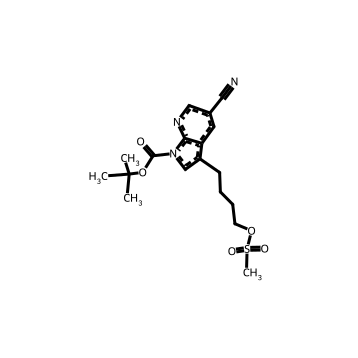 CC(C)(C)OC(=O)n1cc(CCCCOS(C)(=O)=O)c2cc(C#N)cnc21